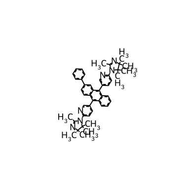 CC1=NC(C)(C)C(C)(C)N1c1ccc(-c2c3ccccc3c(-c3ccc(N4C(C)=NC(C)(C)C4(C)C)nc3)c3cc(-c4ccccc4)ccc23)cn1